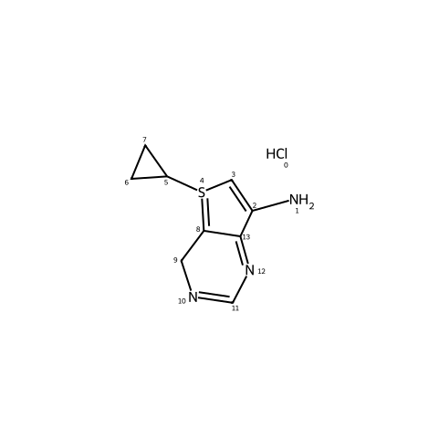 Cl.NC1=CS(C2CC2)=C2CN=CN=C12